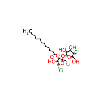 CCCCCCCCCCCC(=O)O[C@H]1[C@H](O)[C@@H](CCl)O[C@@]1(CCl)O[C@H]1O[C@H](CO)[C@H](Cl)[C@H](O)[C@H]1O